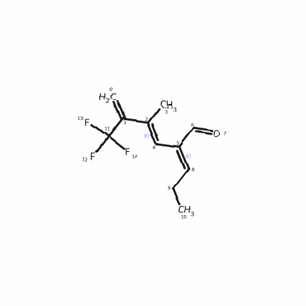 C=C(/C(C)=C/C(C=O)=C\CC)C(F)(F)F